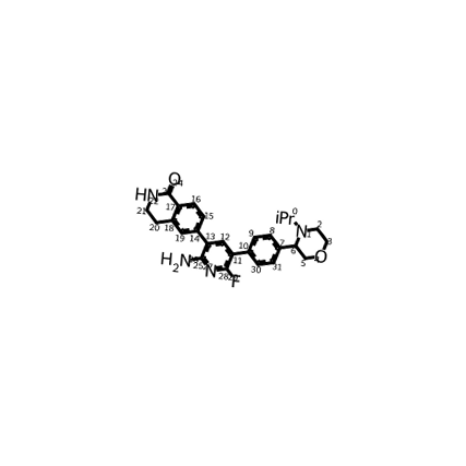 CC(C)N1CCOCC1c1ccc(-c2cc(-c3ccc4c(c3)CCNC4=O)c(N)nc2F)cc1